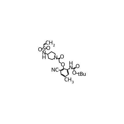 C=CS(=O)(=O)NC1CCN(C(=O)COc2c(C#N)cc(C)cc2NC(=O)OC(C)(C)C)CC1